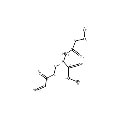 CCOCC(=O)N[C@@H](CCC(=O)C=N)C(=O)OC(C)C